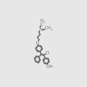 CCN(CC)CCCCOc1ccc(C(=C(Cl)c2ccc(O)cc2)c2ccccc2)cc1